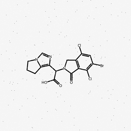 O=C(O)C(c1ncn2c1CCC2)N1Cc2c(Cl)cc(Br)c(Cl)c2C1=O